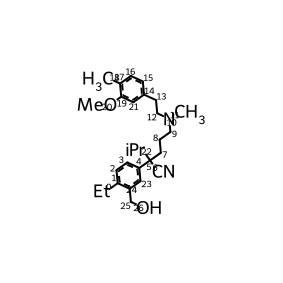 CCc1ccc(C(C#N)(CCCN(C)CCc2ccc(C)c(OC)c2)C(C)C)cc1CO